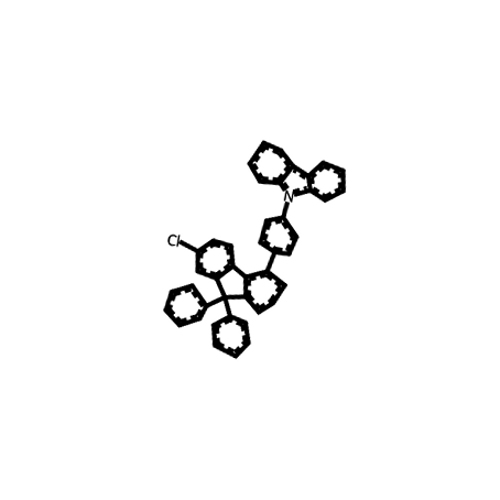 Clc1ccc2c(c1)C(c1ccccc1)(c1ccccc1)c1cccc(-c3ccc(-n4c5ccccc5c5ccccc54)cc3)c1-2